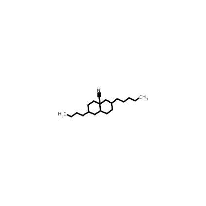 CCCCCC1CCC2CC(CCCC)CCC2(C#N)C1